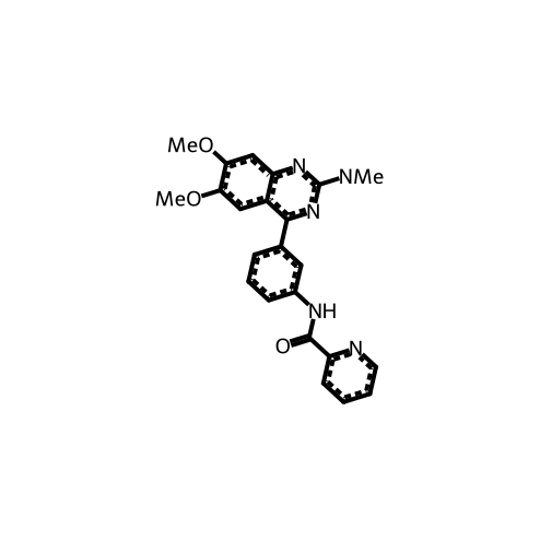 CNc1nc(-c2cccc(NC(=O)c3ccccn3)c2)c2cc(OC)c(OC)cc2n1